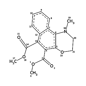 COC(=O)c1c2c(c3ccccc3c1C(=O)OC)N(C)CCO2